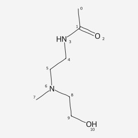 CC(=O)NCCN(C)CCO